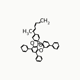 C=C/C=C\C=C(/C)c1ccc2c(c1)Oc1c(-c3ccccc3)cc(-c3ccccc3)c3c1P2(=O)c1ccc(-c2ccccc2)cc1O3